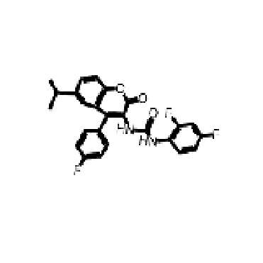 CC(C)c1ccc2oc(=O)c(NC(=O)Nc3ccc(F)cc3F)c(-c3ccc(F)cc3)c2c1